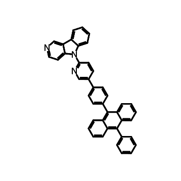 c1ccc(-c2c3ccccc3c(-c3ccc(-c4ccc(-n5c6ccccc6c6cnccc65)nc4)cc3)c3ccccc23)cc1